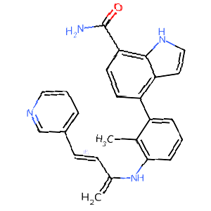 C=C(/C=C/c1cccnc1)Nc1cccc(-c2ccc(C(N)=O)c3[nH]ccc23)c1C